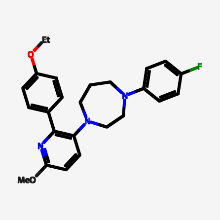 CCOc1ccc(-c2nc(OC)ccc2N2CCCN(c3ccc(F)cc3)CC2)cc1